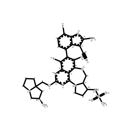 C[C@H]1CN2CCCC2(COc2nc3c4c(c(Cl)c(-c5ccc(F)c6sc(N)c(C#N)c56)c(F)c4n2)OCC2C(NS(C)(=O)=O)CCN32)C1